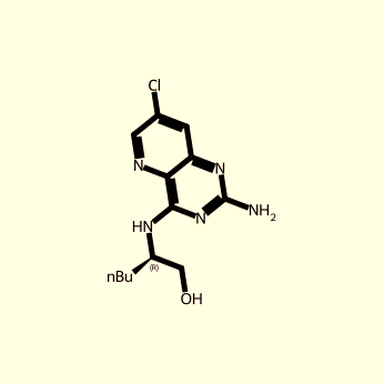 CCCC[C@H](CO)Nc1nc(N)nc2cc(Cl)cnc12